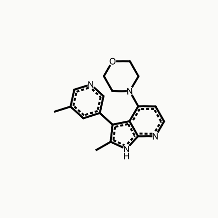 Cc1cncc(-c2c(C)[nH]c3nccc(N4CCOCC4)c23)c1